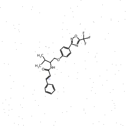 CC(C)C(COc1ccc(-c2noc(C(F)(F)F)n2)cc1)NC(=O)/C=C/c1ccccc1